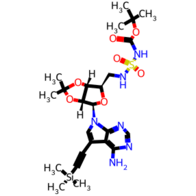 CC(C)(C)OC(=O)NS(=O)(=O)NC[C@H]1O[C@@H](n2cc(C#C[Si](C)(C)C)c3c(N)ncnc32)[C@@H]2OC(C)(C)O[C@@H]21